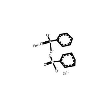 O=P([O-])([O-])c1ccccc1.O=P([O-])([O-])c1ccccc1.[Fe+2].[Ni+2]